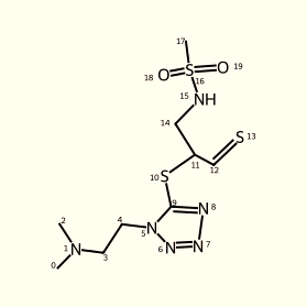 CN(C)CCn1nnnc1SC(C=S)CNS(C)(=O)=O